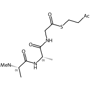 CN[C@@H](C)C(=O)N[C@@H](C)C(=O)NCC(=O)SCCC(C)=O